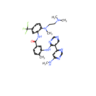 CNc1cc(-c2cncnc2Nc2cc(C(=O)Nc3cc(C(F)(F)F)ccc3N(C)CCN(C)C)ccc2C)ncn1